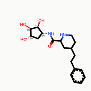 O=C(N[C@@H]1C[C@H](O)[C@@H](O)[C@H]1O)C1CC(CCc2ccccc2)CCN1